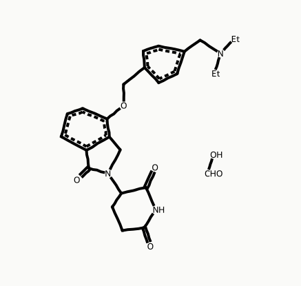 CCN(CC)Cc1ccc(COc2cccc3c2CN(C2CCC(=O)NC2=O)C3=O)cc1.O=CO